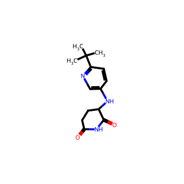 CC(C)(C)c1ccc(NC2CCC(=O)NC2=O)cn1